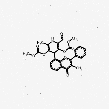 COC(=O)OC1=C(C)NC(C=O)=C(OC(=O)OC)C1c1cccc2c(=O)c(C)c(-c3ccccc3)oc12